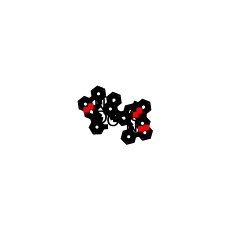 Cc1cccc2c1oc1c(N(c3ccccc3-c3ccccc3)c3cc4oc5cc(N(c6ccccc6-c6ccccc6)c6cccc7c6oc6c(C)cccc67)c6ccccc6c5c4c4ccccc34)cccc12